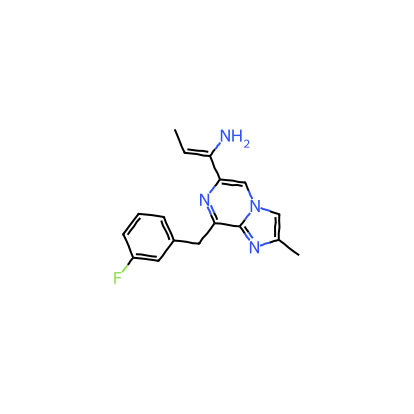 C/C=C(\N)c1cn2cc(C)nc2c(Cc2cccc(F)c2)n1